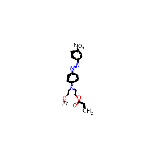 C=CC(=O)OCCN(CCOC(C)C)c1ccc(/N=N/c2ccc([N+](=O)[O-])cc2)cc1